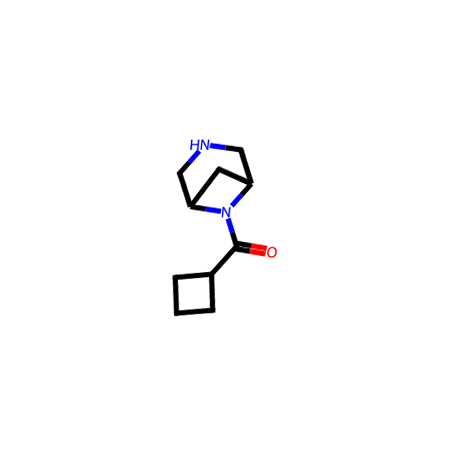 O=C(C1CCC1)N1C2CNCC1C2